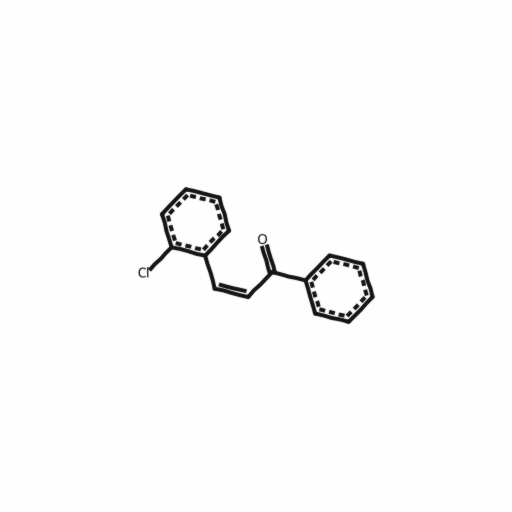 O=C(/C=C\c1ccccc1Cl)c1ccccc1